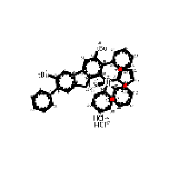 CC(C)(C)c1cc2c(cc1-c1ccccc1)Cc1c-2cc(C(C)(C)C)c(-c2ccccc2)[c]1[Hf](=[SiH2])([C]1=CC=CC1)([c]1ccccc1)[c]1ccccc1.Cl.Cl